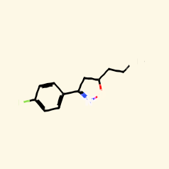 O=CCCC1CC(c2ccc(F)cc2)=NO1